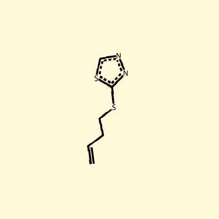 C=CC[CH]Sc1nncs1